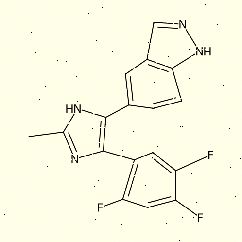 Cc1nc(-c2cc(F)c(F)cc2F)c(-c2ccc3[nH]ncc3c2)[nH]1